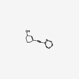 OC1C=C(C#Cc2ccccn2)CCC1